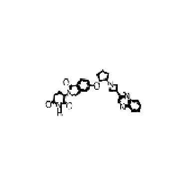 O=C1CCC(N2Cc3cc(O[C@H]4CCC[C@H]4N4CC(c5cnc6ccccc6n5)C4)ccc3C2=O)C(=O)N1